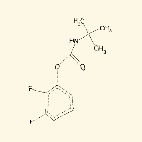 CC(C)(C)NC(=O)Oc1cccc(I)c1F